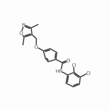 Cc1noc(C)c1COc1ccc(C(=O)Nc2cccc(Cl)c2Cl)cc1